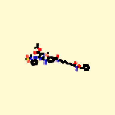 COc1cc(C(=O)NCCCCCCC(=O)NOCc2ccccc2)ccc1Nc1ncc(C(=O)OC(C)C)c(Nc2ccccc2N(C)S(C)(=O)=O)n1